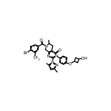 Cc1cc(C)n(-c2nc3c(c(=O)n2-c2ccc(OC4CC(O)C4)cc2)CC(C)N(C(=O)c2ccc(Br)c(C(F)(F)F)c2)C3)n1